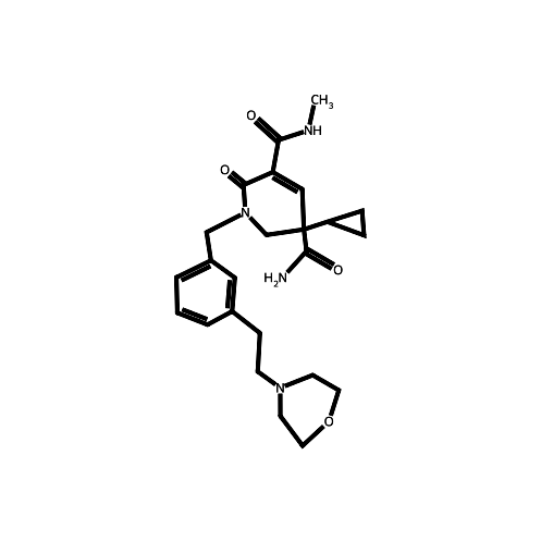 CNC(=O)C1=CC(C(N)=O)(C2CC2)CN(Cc2cccc(CCN3CCOCC3)c2)C1=O